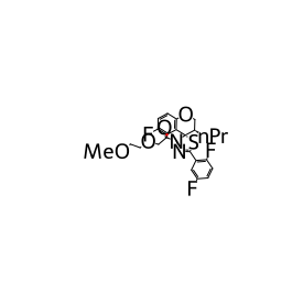 CCC[C@@H]1COc2ccc(F)cc2[C@@]12SC(c1cc(F)ccc1F)=NN2C(=O)COCCOC